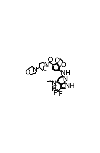 CCNc1cc(Nc2ccc(C(=O)N3CCC(N4CCOCC4)CC3)c3c2OCCO3)nc2[nH]cc(C(F)(F)F)c12